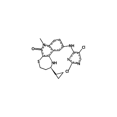 Cn1c(=O)c2c(c3cc(Nc4nc(Cl)ncc4Cl)ccc31)N[C@@H](C1CC1)CCS2